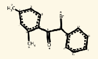 Cc1ccc(C(=O)C(Br)c2ccccc2)c(C)c1